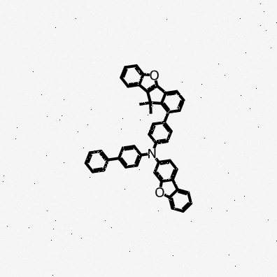 CC1(C)c2c(-c3ccc(N(c4ccc(-c5ccccc5)cc4)c4ccc5c(c4)oc4ccccc45)cc3)cccc2-c2oc3ccccc3c21